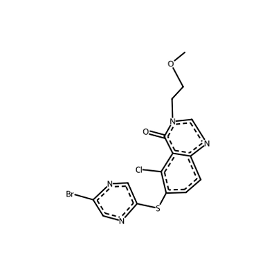 COCCn1cnc2ccc(Sc3cnc(Br)cn3)c(Cl)c2c1=O